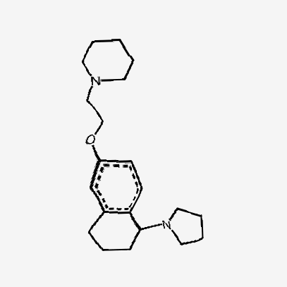 c1cc2c(cc1OCCN1CCCCC1)CCCC2N1CCCC1